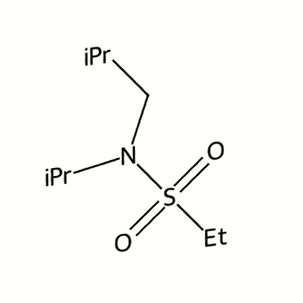 CCS(=O)(=O)N(CC(C)C)C(C)C